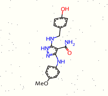 COc1ccc(Nc2n[nH]c(NCc3ccc(O)cc3)c2C(N)=O)cc1